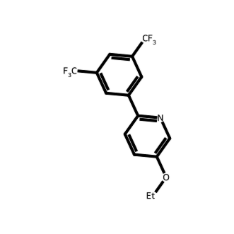 CCOc1ccc(-c2cc(C(F)(F)F)cc(C(F)(F)F)c2)nc1